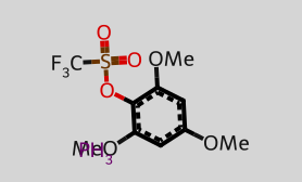 COc1cc(OC)c(OS(=O)(=O)C(F)(F)F)c(OC)c1.P